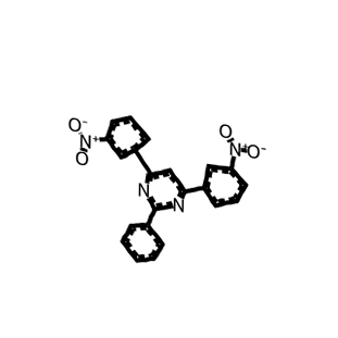 O=[N+]([O-])c1cccc(-c2cc(-c3cccc([N+](=O)[O-])c3)nc(-c3ccccc3)n2)c1